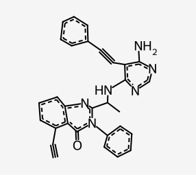 C#Cc1cccc2nc(C(C)Nc3ncnc(N)c3C#Cc3ccccc3)n(-c3ccccc3)c(=O)c12